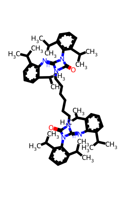 CC(C)c1cccc(C(C)C)c1/N=C1\N(CCCCCCN2C(=O)N(c3c(C(C)C)cccc3C(C)C)/C2=N/c2c(C(C)C)cccc2C(C)C)C(=O)N1c1c(C(C)C)cccc1C(C)C